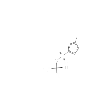 CC(C)(NS(=O)(=O)c1ccc(Cl)s1)C(=O)O